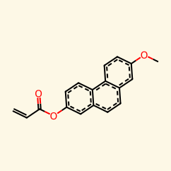 C=CC(=O)Oc1ccc2c(ccc3cc(OC)ccc32)c1